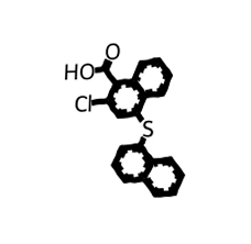 O=C(O)c1c(Cl)cc(Sc2cccc3ccccc23)c2ccccc12